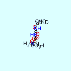 C[C@@H](C(=O)O)N(C)C(=O)CCSC1CC(=O)C(CCNC(=O)[C@H]2CC[C@H](CNC(=O)CCc3ccc(C=O)c(C=O)c3)CC2)C1=O